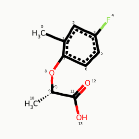 Cc1cc(F)ccc1O[C@@H](C)C(=O)O